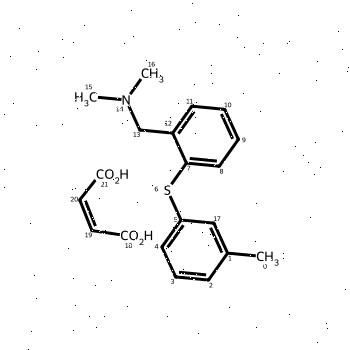 Cc1cccc(Sc2ccccc2CN(C)C)c1.O=C(O)/C=C\C(=O)O